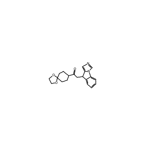 O=C(CC1c2ccccc2-n2cncc21)C1CCC2(CC1)OCCO2